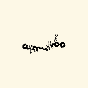 O=C(Nc1nnc(CCCCc2ccc(NC(O)Cc3ccccc3)nn2)s1)C(O)c1ccc(-c2ccccc2)cc1OCCO